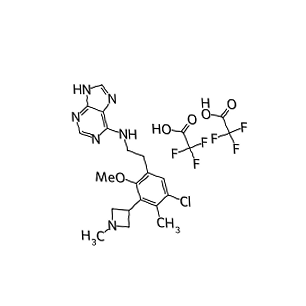 COc1c(CCNc2ncnc3[nH]cnc23)cc(Cl)c(C)c1C1CN(C)C1.O=C(O)C(F)(F)F.O=C(O)C(F)(F)F